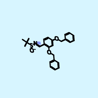 CC(C)(C)[S+]([O-])/N=C/c1ccc(OCc2ccccc2)cc1OCc1ccccc1